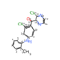 Cc1ccccc1Nc1ccc(C(=O)c2nccnc2Cl)c(Cl)c1